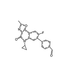 Cc1nc2c(=O)n(C3CC3)c3cc(-c4ccc(C=O)cc4)c(F)cc3c2o1